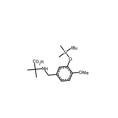 COc1ccc(CNC(C)(C)C(=O)O)cc1O[Si](C)(C)C(C)(C)C